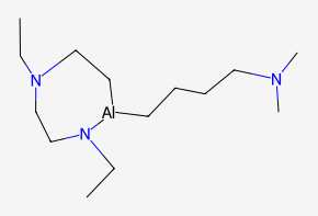 CCN1CC[N](CC)[Al]([CH2]CCCN(C)C)[CH2]C1